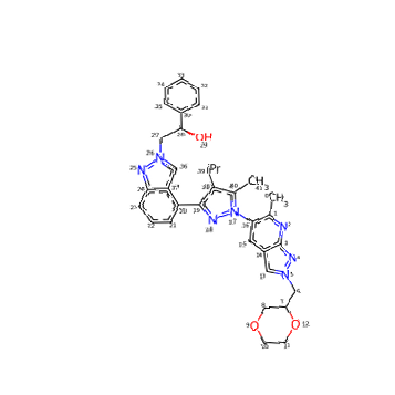 Cc1nc2nn(CC3COCCO3)cc2cc1-n1nc(-c2cccc3nn(C[C@H](O)c4ccccc4)cc23)c(C(C)C)c1C